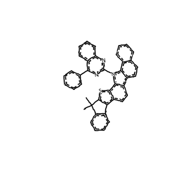 CC1(C)c2ccccc2-c2c1sc1c2ccc2c3ccc4ccccc4c3n(-c3nc(-c4ccccc4)c4ccccc4n3)c21